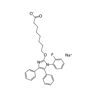 O=C([O-])CCCCCCCOc1nc(-c2ccccc2)c(-c2ccccc2)n1-c1ccccc1F.[Na+]